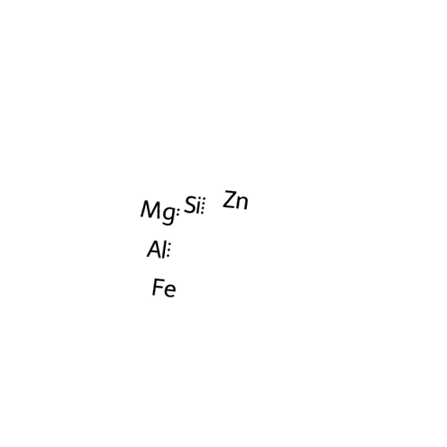 [Al].[Fe].[Mg].[Si].[Zn]